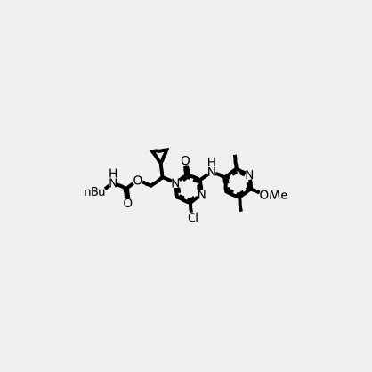 CCCCNC(=O)OCC(C1CC1)n1cc(Cl)nc(Nc2cc(C)c(OC)nc2C)c1=O